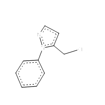 CCc1[c]cnn1-c1ccccc1